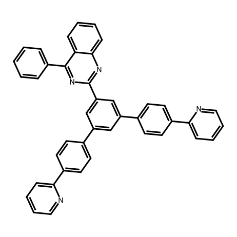 c1ccc(-c2nc(-c3cc(-c4ccc(-c5ccccn5)cc4)cc(-c4ccc(-c5ccccn5)cc4)c3)nc3ccccc23)cc1